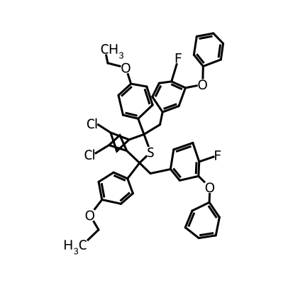 CCOc1ccc(C(Cc2ccc(F)c(Oc3ccccc3)c2)(SC(Cc2ccc(F)c(Oc3ccccc3)c2)(c2ccc(OCC)cc2)C2CC2Cl)C2CC2Cl)cc1